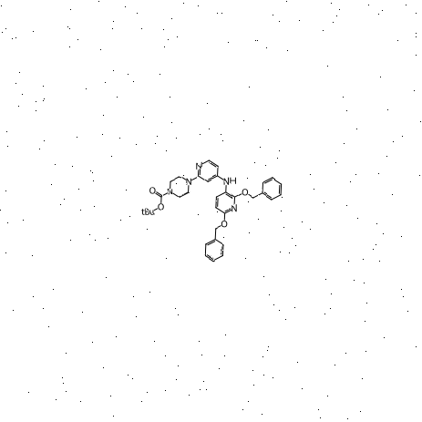 CC(C)(C)OC(=O)N1CCN(c2cc(Nc3ccc(OCc4ccccc4)nc3OCc3ccccc3)ccn2)CC1